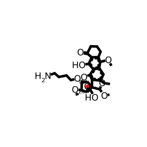 COc1c2c(c(O)c3c4c(c(C)cc13)C1C3OC(O)(C(OC)OC)C1[C@]1(CO1)[C@]3(OCCCCN)O4)C(=O)CCC2